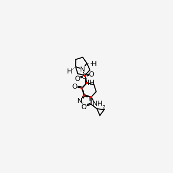 NC1CCC(S(=O)(=O)N2[C@@H]3CC[C@H]2C[C@@H](NC(=O)c2cc(C4CC4)on2)C3)CC1